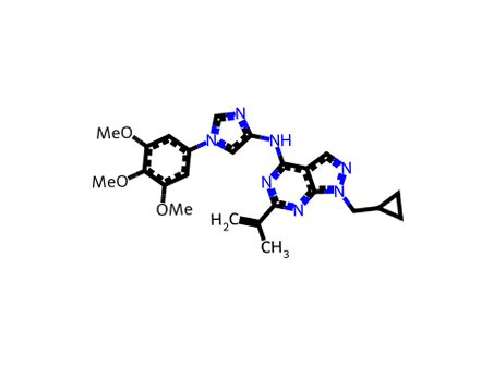 C=C(C)c1nc(Nc2cn(-c3cc(OC)c(OC)c(OC)c3)cn2)c2cnn(CC3CC3)c2n1